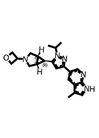 Cc1c[nH]c2ncc(-c3cc([C@H]4[C@@H]5CN(C6COC6)C[C@@H]54)n(C(C)C)n3)cc12